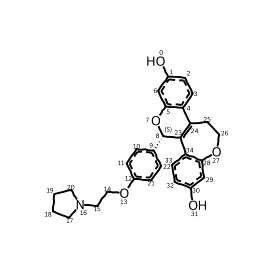 Oc1ccc2c(c1)O[C@@H](c1ccc(OCCN3CCCC3)cc1)C1=C2CCOc2cc(O)ccc21